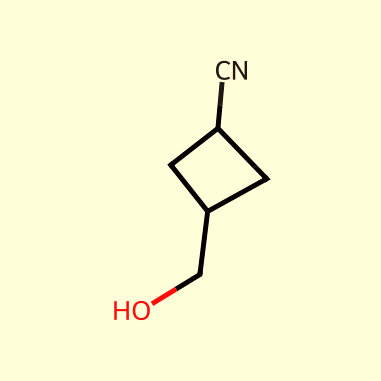 N#CC1CC(CO)C1